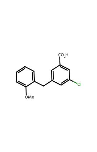 COc1ccccc1Cc1cc(Cl)cc(C(=O)O)c1